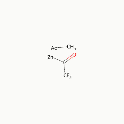 CC(C)=O.O=[C]([Zn])C(F)(F)F